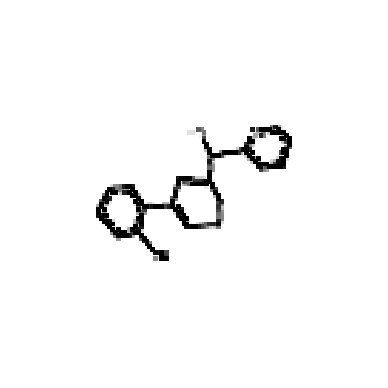 N#Cc1ccccc1C1=C[CH]CC(C(O)c2ccccn2)=C1